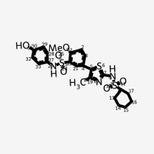 COc1ccc(-c2sc(NS(=O)(=O)C3CCCCC3)nc2C)cc1S(=O)(=O)Nc1ccc(O)cc1